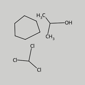 C1CCCCC1.CC(C)O.ClC(Cl)Cl